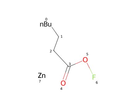 CCCCCCC(=O)OF.[Zn]